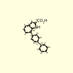 O=C(O)c1cc2cccc(-c3ccc(-c4ccccc4)cc3)c2[nH]1